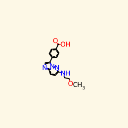 COCCNc1ccc2ncc(-c3ccc(C(=O)O)cc3)n2n1